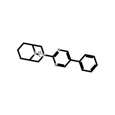 CN1C2CCCC1CN(c1ncc(-c3ccccc3)cn1)C2